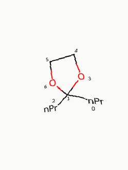 [CH]CCC1(CCC)OCCO1